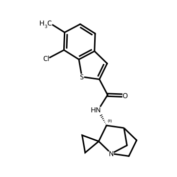 Cc1ccc2cc(C(=O)N[C@@H]3C4CCN(C4)C34CC4)sc2c1Cl